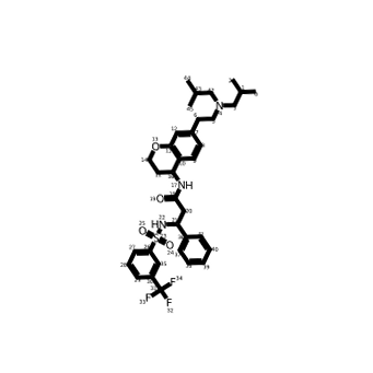 CC(C)CN(CCc1ccc2c(c1)OCCC2NC(=O)CC(NS(=O)(=O)c1cccc(C(F)(F)F)c1)c1ccccc1)CC(C)C